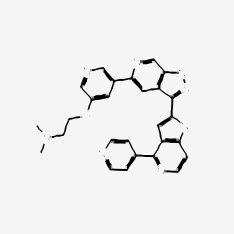 CN(C)CCOc1cncc(-c2cc3c(-c4cc5c(-c6ccncc6)nccc5[nH]4)n[nH]c3cn2)c1